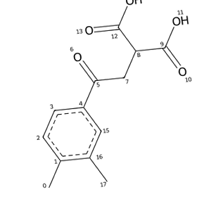 Cc1ccc(C(=O)CC(C(=O)O)C(=O)O)cc1C